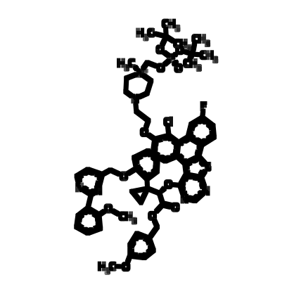 COc1ccc(COC(=O)[C@H](Oc2ncnc3sc4c5ccc(F)cc5c5c(Cl)c(OCCN6CC[N+](C)(COP(=O)(OC(C)(C)C)OC(C)(C)C)CC6)ccc5c4c23)C2(c3ccccc3OCc3ccnc(-c4ccccc4OC)n3)CC2)cc1